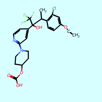 CCOc1ccc(C(C)C(O)(c2ccnc(N3CCC(OC(=O)O)CC3)c2)C(F)(F)F)c(Cl)c1